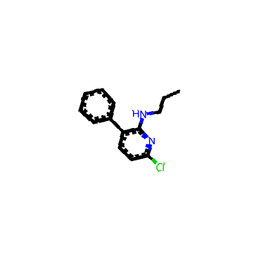 CCCNc1nc(Cl)ccc1-c1ccccc1